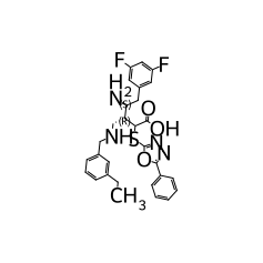 CCc1cccc(CNC[C@@H](C(Sc2nnc(-c3ccccc3)o2)C(=O)O)[C@@H](N)Cc2cc(F)cc(F)c2)c1